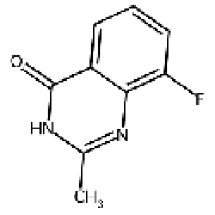 Cc1nc2c(F)cccc2c(=O)[nH]1